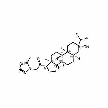 Cc1nnnn1CC(=O)[C@H]1CC[C@H]2[C@@H]3CC[C@@H]4C[C@@](O)(C(F)F)CC[C@@H]4[C@H]3CC[C@]12C